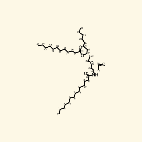 CCCCCCCCCCCCCC(=O)N[C@@H](CC=O)COCC[C@@H](CCCCCCC)OC(=O)CCCCCCCCCCC